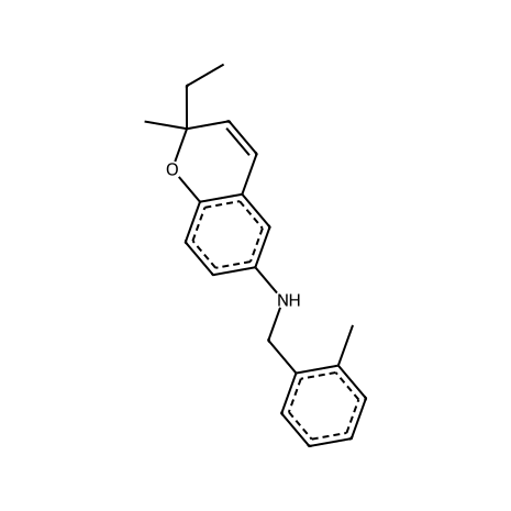 CCC1(C)C=Cc2cc(NCc3ccccc3C)ccc2O1